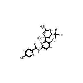 C[C@@]1(c2nc(NC(=O)c3ccc(Cl)cn3)ccc2F)C[C@@H](C(F)(F)F)N=C(N)O1